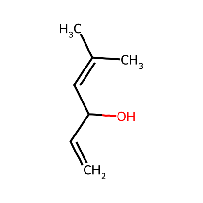 C=CC(O)C=C(C)C